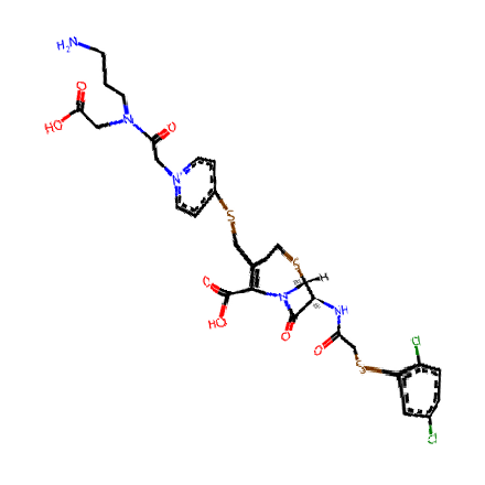 NCCCN(CC(=O)O)C(=O)C[n+]1ccc(SCC2=C(C(=O)O)N3C(=O)[C@H](NC(=O)CSc4cc(Cl)ccc4Cl)[C@H]3SC2)cc1